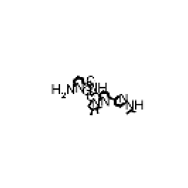 CC(C)Nc1ccc(-c2ccc(C(=O)NS(=O)(=O)c3cccc(N)n3)c(N3CCC(C)C3(C)C)n2)cn1